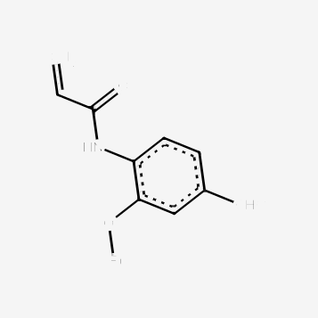 C=CC(=O)Nc1ccc(C=O)cc1OCC